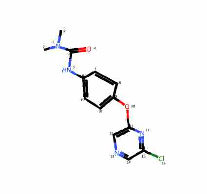 CN(C)C(=O)Nc1ccc(Oc2cncc(Cl)n2)cc1